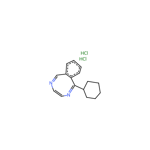 C1=CN=C(C2CCCCC2)c2ccccc2C=N1.Cl.Cl